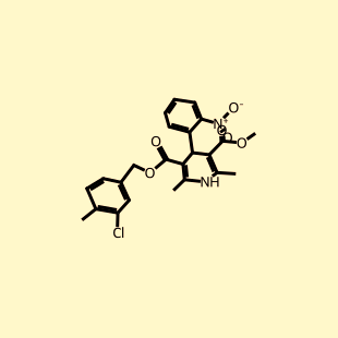 COC(=O)C1=C(C)NC(C)=C(C(=O)OCc2ccc(C)c(Cl)c2)C1c1ccccc1[N+](=O)[O-]